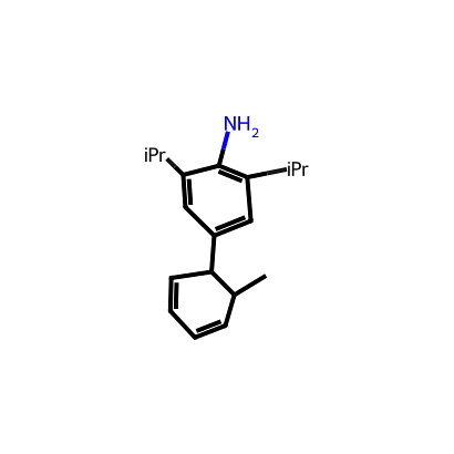 CC(C)c1cc(C2C=CC=CC2C)cc(C(C)C)c1N